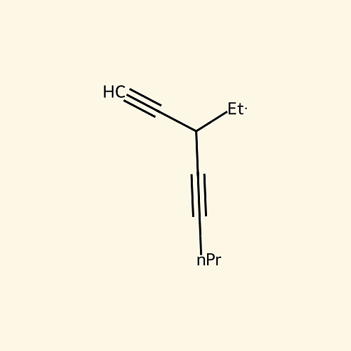 C#CC(C#CCCC)[CH]C